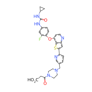 O=C(O)CC(=O)N1CCN(Cc2ccc(-c3cc4nccc(Oc5ccc(NC(=O)NC6CC6)cc5F)c4s3)nc2)CC1